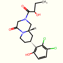 CC[C@@H](O)C(=O)N1CC(=O)N2CC[C@@H](c3c(O)ccc(Cl)c3Cl)C[C@H]2C1